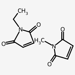 CCN1C(=O)C=CC1=O.CN1C(=O)C=CC1=O